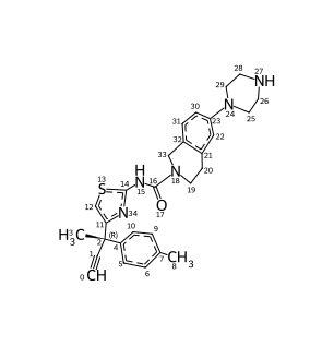 C#C[C@@](C)(c1ccc(C)cc1)c1csc(NC(=O)N2CCc3cc(N4CCNCC4)ccc3C2)n1